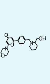 O=c1cc(-c2ccc(CN3CCCCC3CO)cc2)oc(N2CCOCC2)c1